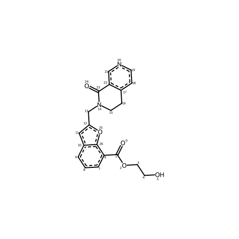 O=C(OCCO)c1cccc2cc(CN3CCc4ccncc4C3=O)oc12